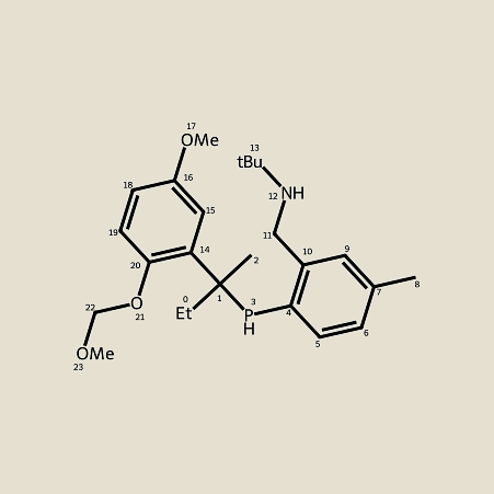 CCC(C)(Pc1ccc(C)cc1CNC(C)(C)C)c1cc(OC)ccc1OCOC